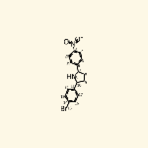 O=[N+]([O-])c1ccc(C2CCC(c3ccc(Br)cc3)N2)cc1